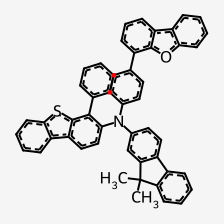 CC1(C)c2ccccc2-c2ccc(N(c3ccc(-c4cccc5c4oc4ccccc45)cc3)c3ccc4c(sc5ccccc54)c3-c3ccccc3)cc21